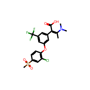 C/C(=C(/C(=O)O)c1cc(Oc2ccc(S(C)(=O)=O)cc2Cl)cc(C(F)(F)F)c1)N(C)C